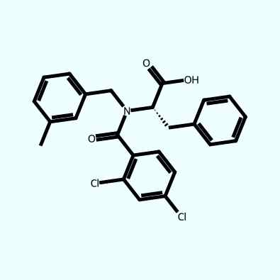 Cc1cccc(CN(C(=O)c2ccc(Cl)cc2Cl)[C@@H](Cc2ccccc2)C(=O)O)c1